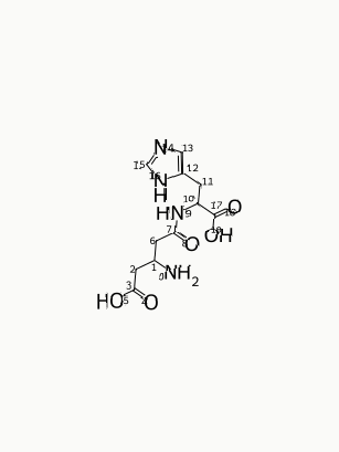 NC(CC(=O)O)CC(=O)NC(Cc1cnc[nH]1)C(=O)O